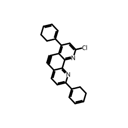 Clc1cc(C2=CC=CCC2)c2c#cc3ccc(C4=CC=CCC4)nc3c2n1